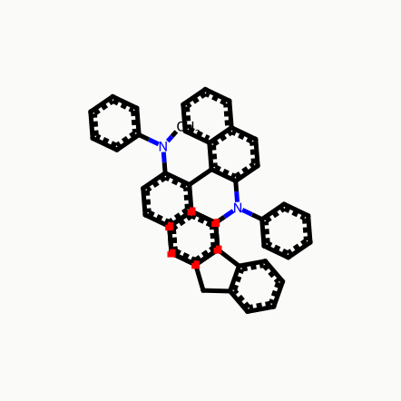 CN(c1ccccc1)c1ccc2ccccc2c1-c1c(N(c2ccccc2)c2cccc3c2-c2ccccc2C3)ccc2ccccc12